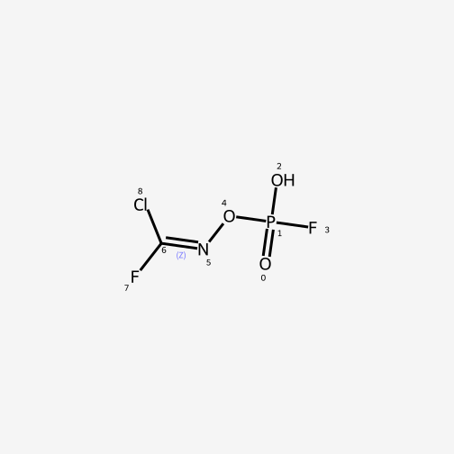 O=P(O)(F)O/N=C(/F)Cl